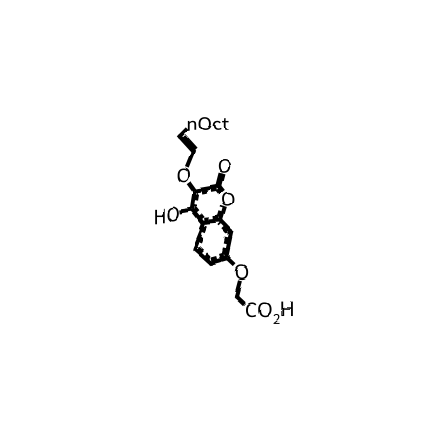 CCCCCCCC/C=C/Oc1c(O)c2ccc(OCC(=O)O)cc2oc1=O